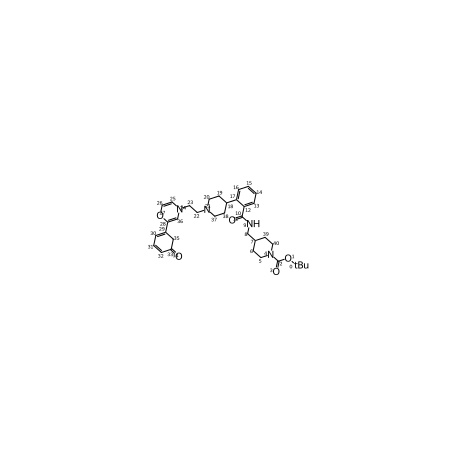 CC(C)(C)OC(=O)N1CCC(CNC(=O)c2ccccc2C2CCN(CCN3C=COC(C4=CC=CC(=O)C4)=C3)CC2)CC1